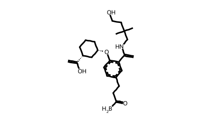 BC(=O)CCc1ccc(O[C@H]2CCC[C@@H](C(=C)O)C2)c(C(=C)NCC(C)(C)CCO)c1